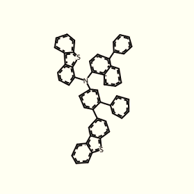 c1ccc(-c2cc(N(c3ccc(-c4ccccc4)c4ccccc34)c3cccc4c3sc3ccccc34)ccc2-c2ccc3sc4ccccc4c3c2)cc1